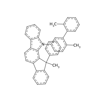 Cc1ccccc1-c1cc(-n2c3ccccc3c3ccc4c(c32)C(C)(c2ccccc2)c2ccccc2-4)ccc1C